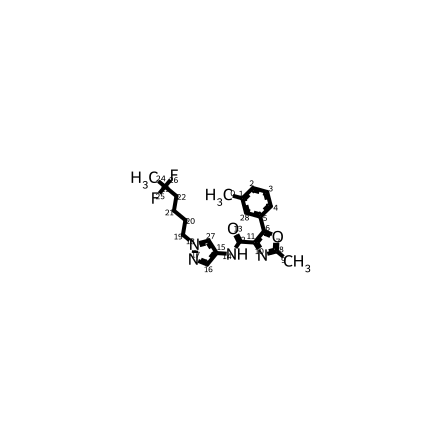 Cc1cccc(-c2oc(C)nc2C(=O)Nc2cnn(CCCCC(C)(F)F)c2)c1